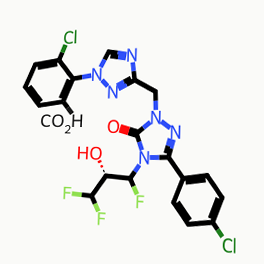 O=C(O)c1cccc(Cl)c1-n1cnc(Cn2nc(-c3ccc(Cl)cc3)n(C(F)[C@@H](O)C(F)F)c2=O)n1